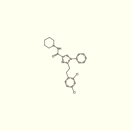 O=C(NN1CCCCC1)c1cn(-c2ccccc2)c(CCc2ccc(Cl)cc2Cl)n1